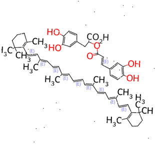 CC1=C(/C=C/C(C)=C/C=C/C(C)=C/C=C/C=C(C)/C=C/C=C(C)/C=C/C2=C(C)CCCC2(C)C)C(C)(C)CCC1.O=C(/C=C/c1ccc(O)c(O)c1)OC(Cc1ccc(O)c(O)c1)C(=O)O